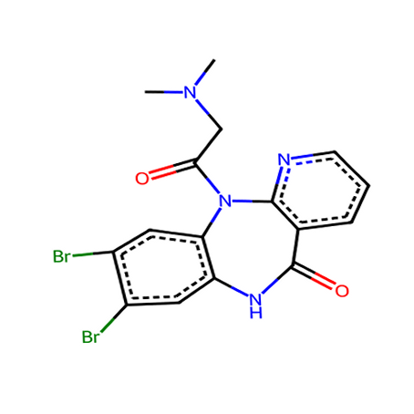 CN(C)CC(=O)N1c2cc(Br)c(Br)cc2NC(=O)c2cccnc21